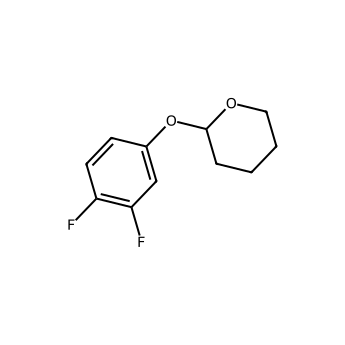 Fc1ccc(OC2CCCCO2)cc1F